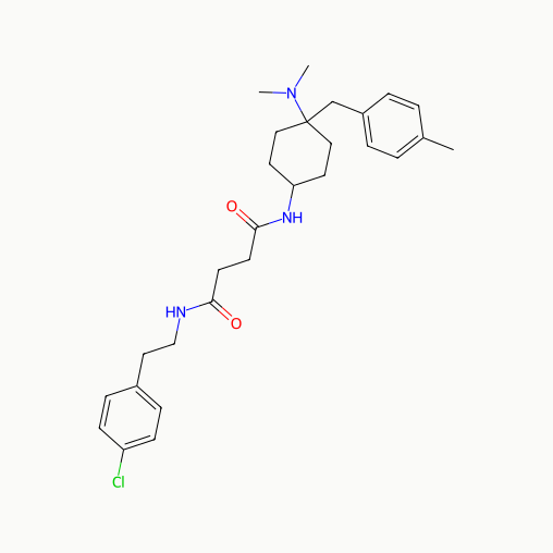 Cc1ccc(CC2(N(C)C)CCC(NC(=O)CCC(=O)NCCc3ccc(Cl)cc3)CC2)cc1